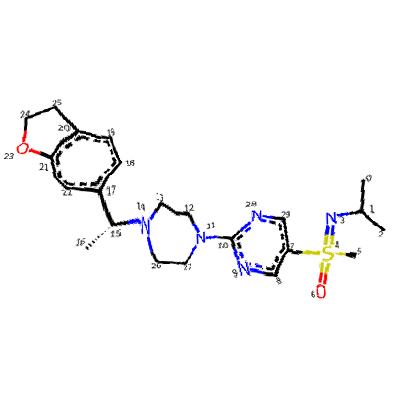 CC(C)N=[S@](C)(=O)c1cnc(N2CCN([C@H](C)c3ccc4c(c3)OCC4)CC2)nc1